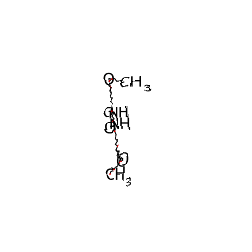 CCCCCC1OC1CC=CCCCCCCCC(=O)NCCCNC(=O)CCCCCCCC=CCC1OC1CCCCC